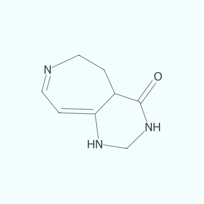 O=C1NCNC2=CC=NCCC12